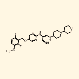 COc1ccc(F)c(COc2cnc(N/C(C=N)=C/NC3CCN(C4CCOCC4)CC3)nc2)c1F